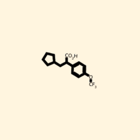 O=C(O)C(CC1CCCC1)c1ccc(OC(F)(F)F)cc1